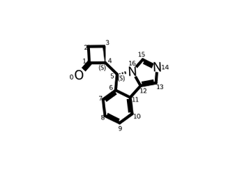 O=C1CC[C@H]1[C@H]1c2ccccc2-c2cncn21